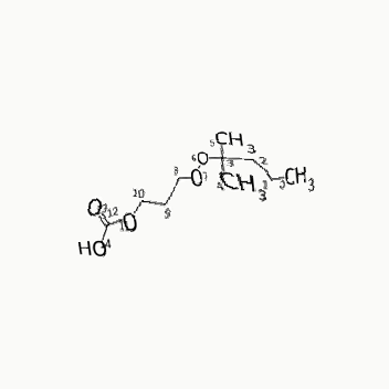 CCCC(C)(C)OOCCCOC(=O)O